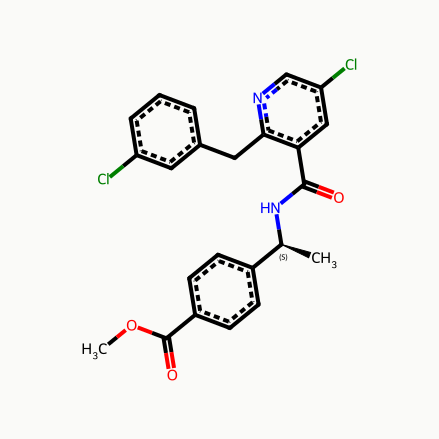 COC(=O)c1ccc([C@H](C)NC(=O)c2cc(Cl)cnc2Cc2cccc(Cl)c2)cc1